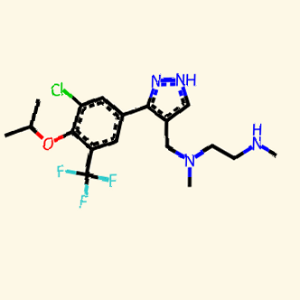 CNCCN(C)Cc1c[nH]nc1-c1cc(Cl)c(OC(C)C)c(C(F)(F)F)c1